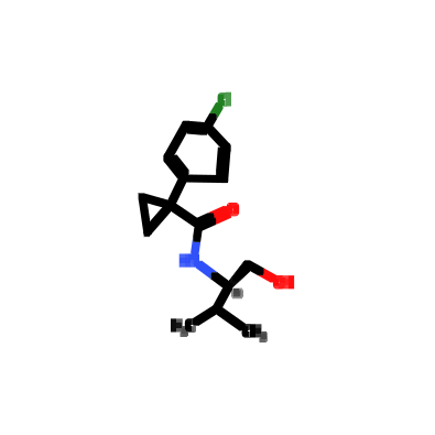 CC(C)[C@H](CO)NC(=O)C1(c2ccc(Cl)cc2)CC1